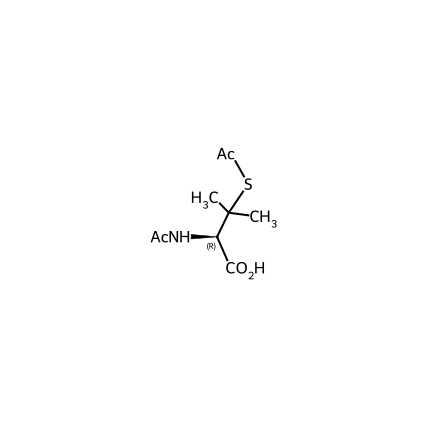 CC(=O)N[C@H](C(=O)O)C(C)(C)SC(C)=O